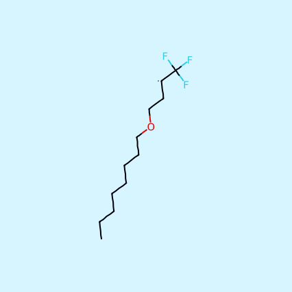 CCCCCCCCOCC[CH]C(F)(F)F